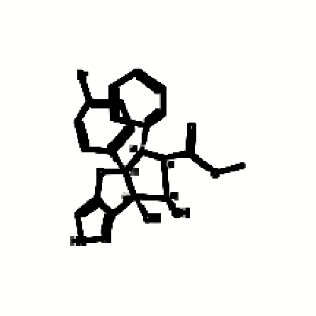 COC(=O)[C@H]1[C@@H](O)[C@@]2(O)c3n[nH]cc3O[C@@]2(c2ccc(Br)cc2)[C@@H]1c1ccccc1